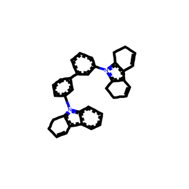 C1=Cc2c3c(n(-c4cccc(-c5cccc(-n6c7c(c8ccccc86)C=CCC7)c5)c4)c2CC1)CCC=C3